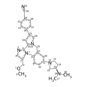 COCc1cnc2n1-c1ccc(N3CC[C@@H](N(C)C)C3)cc1Cn1cc(-c3ccc(C#N)cc3)cc1-2